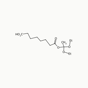 CCOC(C)(OCC)OC(=O)CCCCCCC(=O)O